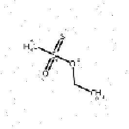 CCOS(C)(=O)=S